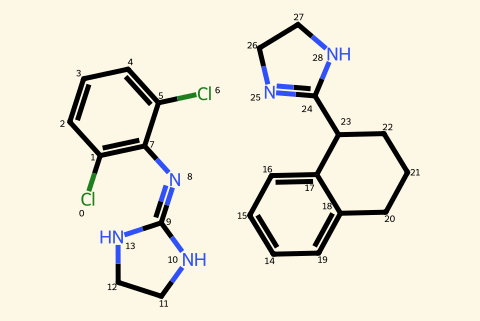 Clc1cccc(Cl)c1N=C1NCCN1.c1ccc2c(c1)CCCC2C1=NCCN1